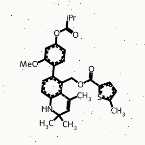 COc1cc(OC(=O)C(C)C)ccc1-c1ccc2c(c1COC(=O)c1ccc(C)s1)C(C)=CC(C)(C)N2